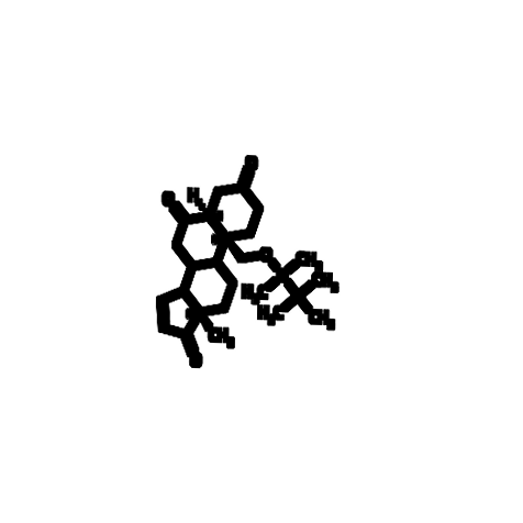 CC(C)(C)[Si](C)(C)OC[C@]12CCC(=O)C[C@@H]1C(=O)CC1C2CC[C@]2(C)C(=O)C=CC12